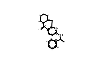 CC(Nc1ccc2c(n1)CC1CCCCC1C2=O)c1ccccc1